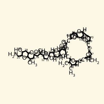 C=C1C2C[C@@H]3O[C@H]4C[C@H]5O[C@@]6(CCC([C@@H](C)C[C@]7(OC)C[C@H](C)C8OC(CN)[C@H](O)CC8O7)O6)C[C@H]5O[C@H]4[C@H](C)[C@H]3OC(=O)C[C@H]3CC[C@@H]4O[C@@H]5C[C@@H](O[C@@]6(CCC7CC(=C)[C@H](CC[C@@H](C[C@H]1C)O2)O7)CCC5O6)[C@H]4O3